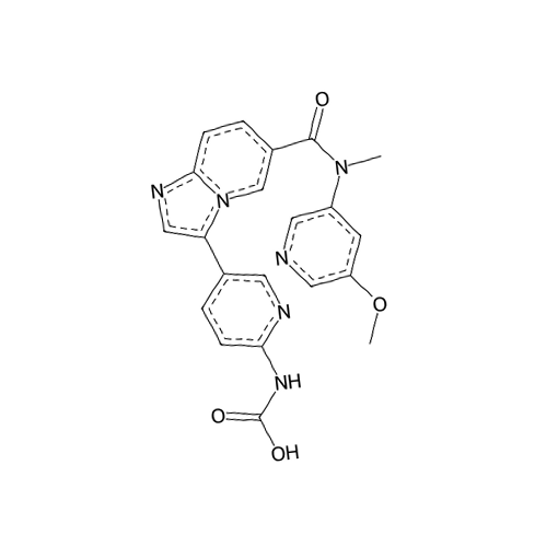 COc1cncc(N(C)C(=O)c2ccc3ncc(-c4ccc(NC(=O)O)nc4)n3c2)c1